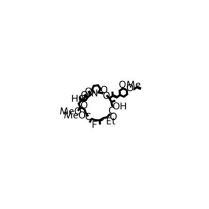 C=CCOC1CCC(C=C(C)C2OC(=O)C3CCCCN3C(=O)C(=O)C3(O)OC(C(OC)CC(C)C(F)/C(C)=C/C(CC)C(=O)CC(O)C2C)C(OC)CC3C)CC1OC